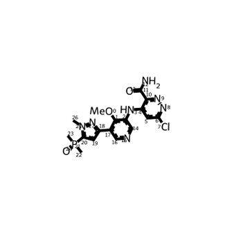 COc1c(Nc2cc(Cl)nnc2C(N)=O)cncc1-c1cc(P(C)(C)=O)n(C)n1